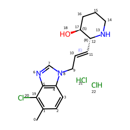 Cc1ccc2c(ncn2C/C=C/[C@H]2NCCC[C@@H]2O)c1Cl.Cl.Cl